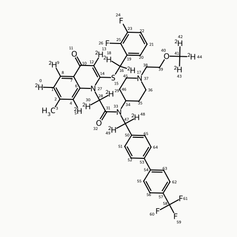 [2H]c1c(C)c([2H])c2c(c1[2H])c(=O)c([2H])c(SC([2H])([2H])c1cccc(F)c1F)n2C([2H])([2H])C(=O)N(C1CCN(CCOC([2H])([2H])[2H])CC1)C([2H])([2H])c1ccc(-c2ccc(C(F)(F)F)cc2)cc1